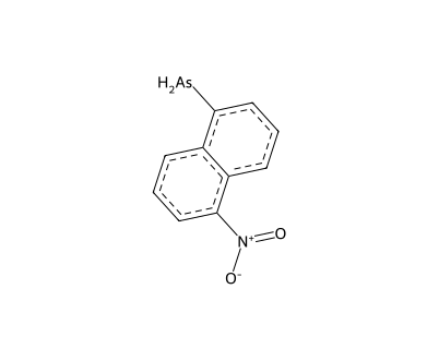 O=[N+]([O-])c1cccc2c([AsH2])cccc12